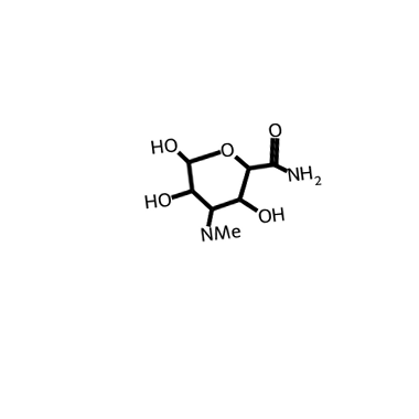 CNC1C(O)C(O)OC(C(N)=O)C1O